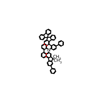 CC1(C)c2cc(-c3ccccc3)ccc2-c2ccc(N(c3ccccc3-c3ccccc3)c3ccc(-c4ccccc4)cc3-c3cccc4c3-c3ccccc3C43c4ccccc4-c4ccccc43)cc21